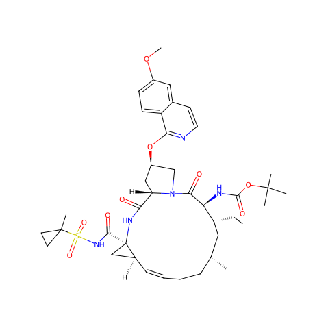 CC[C@@H]1C[C@H](C)CC/C=C\[C@H]2C[C@@]2(C(=O)NS(=O)(=O)C2(C)CC2)NC(=O)[C@@H]2C[C@@H](Oc3nccc4cc(OC)ccc34)CN2C(=O)[C@H]1NC(=O)OC(C)(C)C